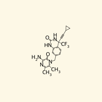 Cc1nc(N)c(=O)n(Cc2ccc3c(c2)NC(=O)NC3(C#CC2CC2)C(F)(F)F)c1C